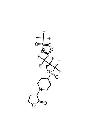 O=C1OCCC1N1CCN(S(=O)(=O)C(F)(F)C(F)(F)C(F)(F)S(=O)(=O)OS(=O)(=O)C(F)(F)F)CC1